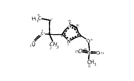 CCC(C)([S+]=O)c1nc(OS(C)(=O)=O)cs1